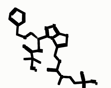 CN(CCS(N)(=O)=O)C(=O)OCc1csc2nnc([C@@H](COCc3ccccc3)NC(=O)C(C)(C)N)n12